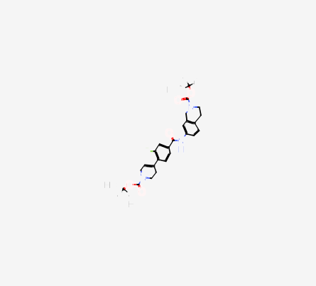 CC(C)(C)OC(=O)N1CC=C(c2ccc(C(=O)Nc3ccc4c(c3)CN(C(=O)OC(C)(C)C)CC4)cc2F)CC1